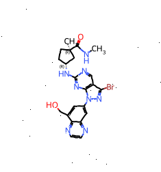 CNC(=O)[C@]1(C)CC[C@@H](Nc2ncc3c(Br)nn(-c4cc(CO)c5nccnc5c4)c3n2)C1